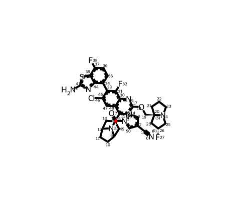 N#Cc1cnn(C(=O)N2C3CCC2CN(c2nc(OC[C@@]45CCCN4C[C@H](F)C5)nc4c(F)c(-c5ccc(F)c6sc(N)nc56)c(Cl)cc24)C3)c1